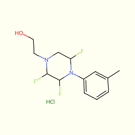 Cc1cccc(N2C(F)CN(CCO)C(F)C2F)c1.Cl